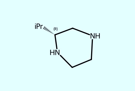 CC(C)[C@@H]1CNCCN1